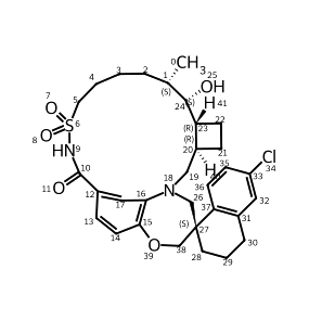 C[C@H]1CCCCS(=O)(=O)NC(=O)c2ccc3c(c2)N(C[C@@H]2CC[C@H]2[C@H]1O)C[C@@]1(CCCc2cc(Cl)ccc21)CO3